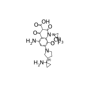 COc1c(N2CC[C@@H](C3(N)CC3)C2)cc(N)c2c1N([C@@H]1C[C@@H]1F)C(=O)C(C(=O)O)C2=O